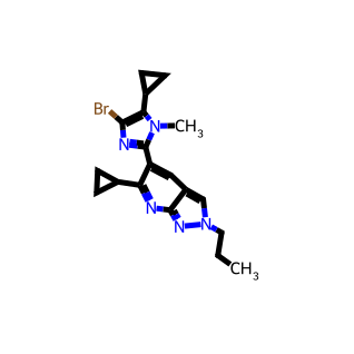 CCCn1cc2cc(-c3nc(Br)c(C4CC4)n3C)c(C3CC3)nc2n1